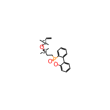 C=C[Si](C)(C)O[Si](C)(C)CCP1(=O)Oc2ccccc2-c2ccccc21